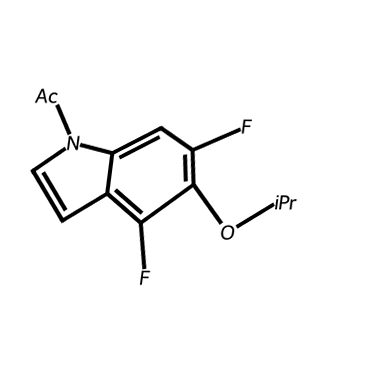 CC(=O)n1ccc2c(F)c(OC(C)C)c(F)cc21